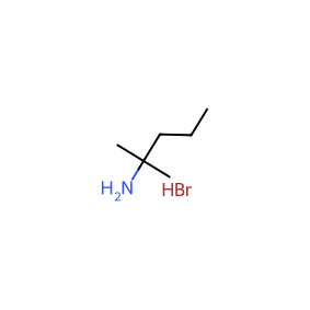 Br.CCCC(C)(C)N